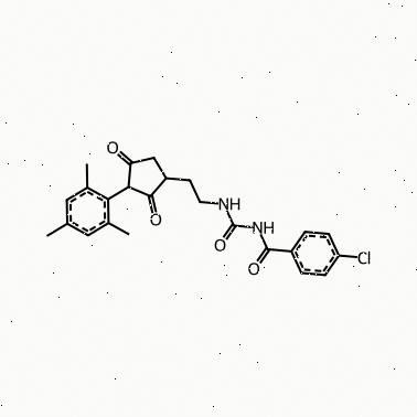 Cc1cc(C)c(C2C(=O)CC(CCNC(=O)NC(=O)c3ccc(Cl)cc3)C2=O)c(C)c1